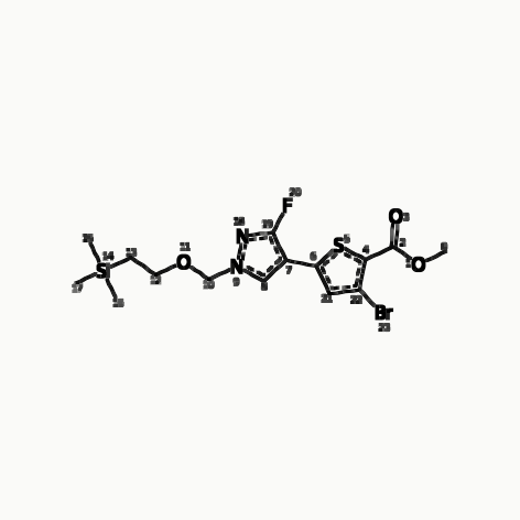 COC(=O)c1sc(-c2cn(COCC[Si](C)(C)C)nc2F)cc1Br